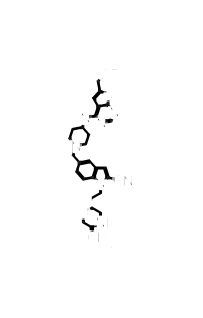 C=C1CO[C@@H](CCn2c(C#N)cc3cc(CN4CCC(Nc5ncnc6sc(CC(F)(F)F)cc56)CC4)ccc32)CN1